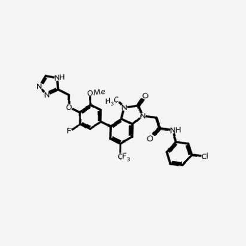 COc1cc(-c2cc(C(F)(F)F)cc3c2n(C)c(=O)n3CC(=O)Nc2cccc(Cl)c2)cc(F)c1OCc1nnc[nH]1